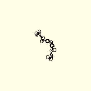 O=C(OCCN1CCOC1=O)c1ccc(Oc2ccc(C(=O)OCCN3CCOC3=O)cc2)cc1